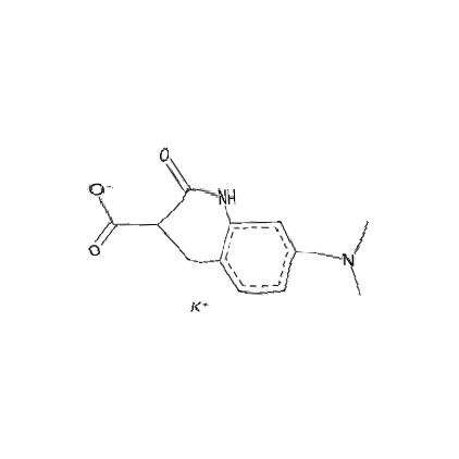 CN(C)c1ccc2c(c1)NC(=O)C(C(=O)[O-])C2.[K+]